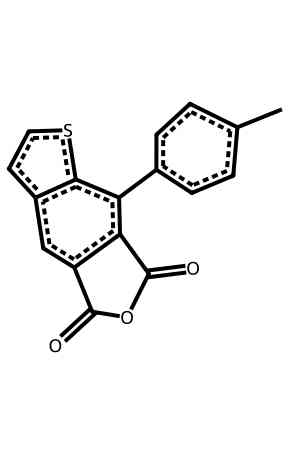 Cc1ccc(-c2c3c(cc4ccsc24)C(=O)OC3=O)cc1